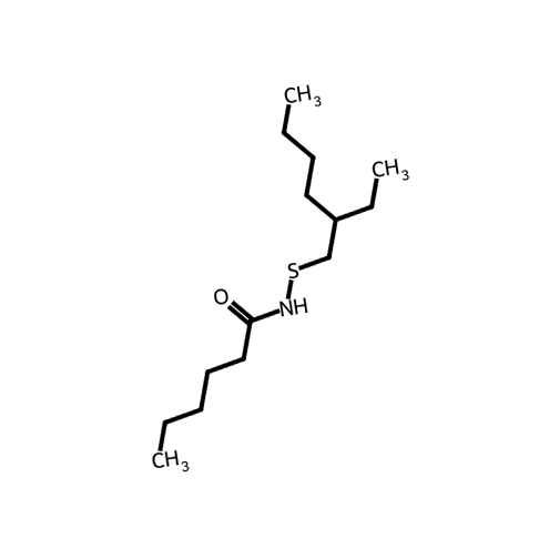 CCCCCC(=O)NSCC(CC)CCCC